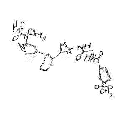 CC(=O)N(C)c1cc(-c2cccc(-c3csc(NC(=O)CNC(=O)c4ccn(S(C)(=O)=O)c4)n3)c2)ccn1